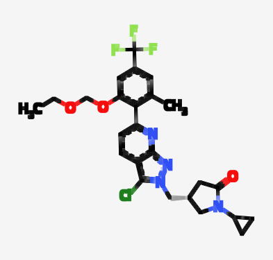 CCOCOc1cc(C(F)(F)F)cc(C)c1-c1ccc2c(Cl)n(C[C@@H]3CC(=O)N(C4CC4)C3)nc2n1